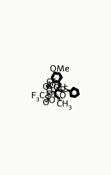 COc1ccc(C[C@@]2(O)[C@@H](Sc3ccccc3)O[C@@H](C)[C@@H](OS(=O)(=O)C(F)(F)F)[C@H]2OS(=O)(=O)C(F)(F)F)cc1